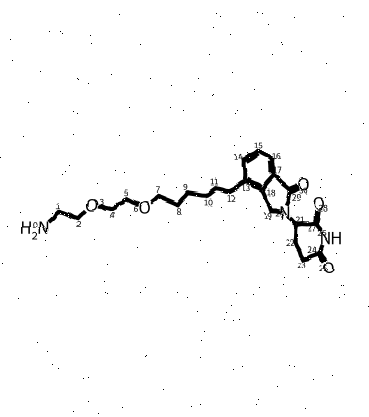 NCCOCCOCCCCCCc1cccc2c1CN(C1CCC(=O)NC1=O)C2=O